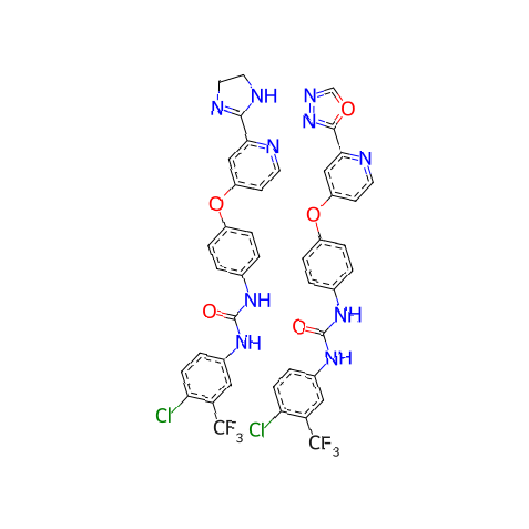 O=C(Nc1ccc(Oc2ccnc(-c3nnco3)c2)cc1)Nc1ccc(Cl)c(C(F)(F)F)c1.O=C(Nc1ccc(Oc2ccnc(C3=NCCN3)c2)cc1)Nc1ccc(Cl)c(C(F)(F)F)c1